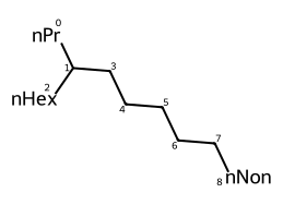 [CH2]CCC(CCCCCC)CCCCCCCCCCCCCC